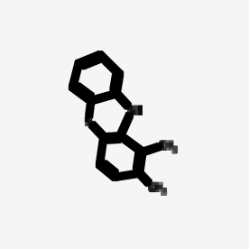 Cc1ccc2c(c1C)Nc1ccccc1S2